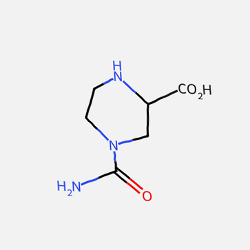 NC(=O)N1CCNC(C(=O)O)C1